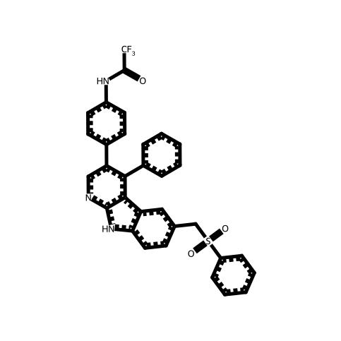 O=C(Nc1ccc(-c2cnc3[nH]c4ccc(CS(=O)(=O)c5ccccc5)cc4c3c2-c2ccccc2)cc1)C(F)(F)F